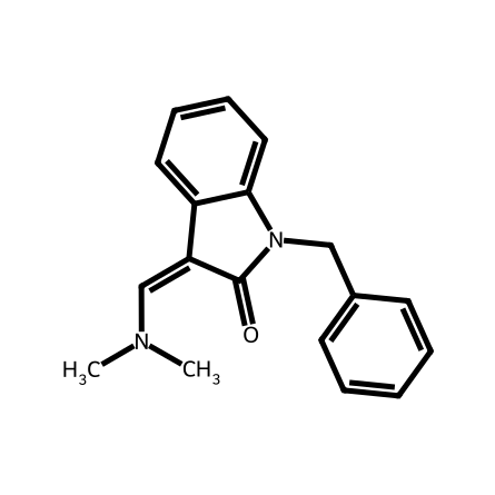 CN(C)C=C1C(=O)N(Cc2ccccc2)c2ccccc21